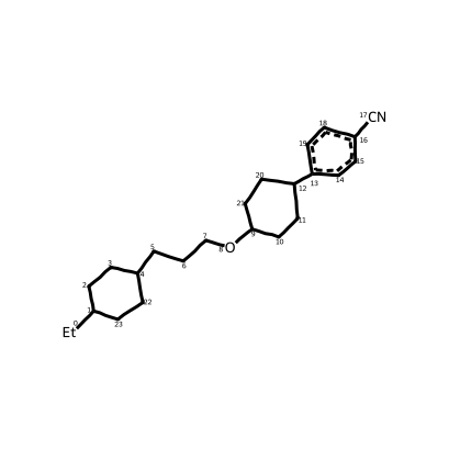 CCC1CCC(CCCOC2CCC(c3ccc(C#N)cc3)CC2)CC1